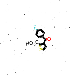 O=C(c1ccc(F)cc1)c1ccsc1C(=O)O